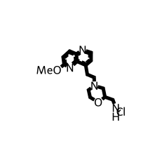 COc1ccc2nccc(CCN3CCOC(CNCl)C3)c2n1